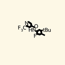 Cc1cc(F)c(NC(=O)c2ccnc(C(F)(F)F)c2)cc1C(C)(C)C